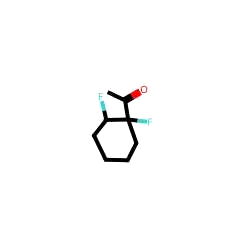 CC(=O)C1(F)CCCC[C]1F